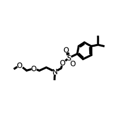 COCOCCN(C)COS(=O)(=O)c1ccc(C(C)C)cc1